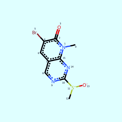 Cn1c(=O)c(Br)cc2cnc([S+](C)[O-])nc21